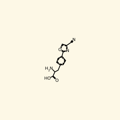 N#Cc1coc(-c2ccc(CC(N)C(=O)O)cc2)n1